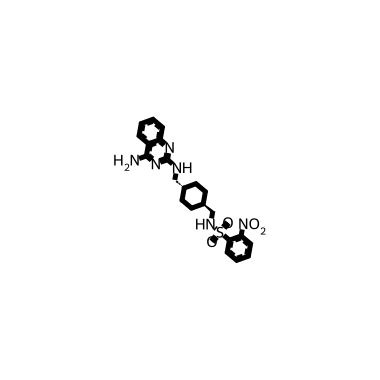 Nc1nc(NC[C@H]2CC[C@H](CNS(=O)(=O)c3ccccc3[N+](=O)[O-])CC2)nc2ccccc12